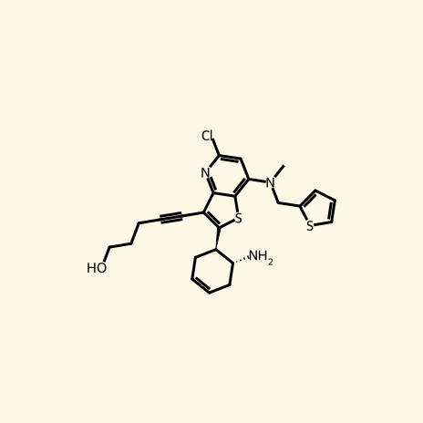 CN(Cc1cccs1)c1cc(Cl)nc2c(C#CCCCO)c([C@@H]3CC=CC[C@H]3N)sc12